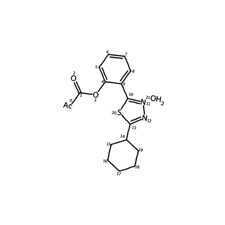 CC(=O)C(=O)Oc1ccccc1-c1nnc(C2CCCCC2)s1.O